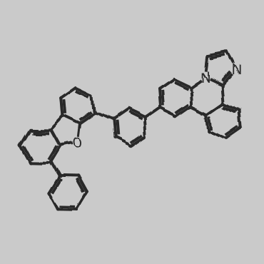 c1ccc(-c2cccc3c2oc2c(-c4cccc(-c5ccc6c(c5)c5ccccc5c5nccn65)c4)cccc23)cc1